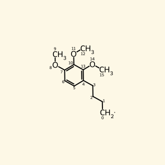 [CH2]CCCc1ccc(OC)c(OC)c1OC